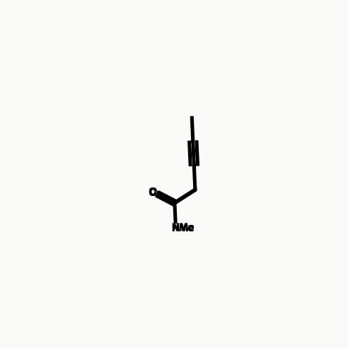 CC#CCC(=O)NC